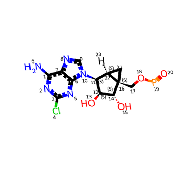 Nc1nc(Cl)nc2c1ncn2[C@@H]1[C@H](O)[C@@H](O)[C@@]2(COP=O)C[C@H]12